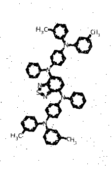 Cc1cccc(N(c2ccc(N(c3ccccc3)c3ccc(N(c4ccccc4)c4ccc(N(c5cccc(C)c5)c5cccc(C)c5)cc4)c4nsnc34)cc2)c2cccc(C)c2)c1